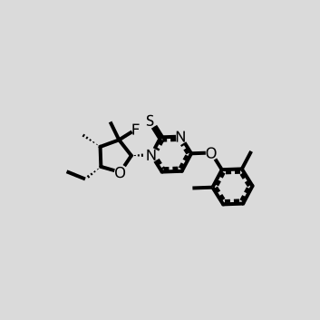 CC[C@H]1O[C@@H](n2ccc(Oc3c(C)cccc3C)nc2=S)C(C)(F)[C@H]1C